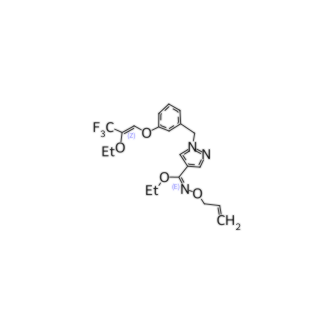 C=CCO/N=C(/OCC)c1cnn(Cc2cccc(O/C=C(\OCC)C(F)(F)F)c2)c1